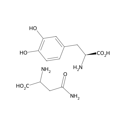 NC(=O)CC(N)C(=O)O.N[C@@H](Cc1ccc(O)c(O)c1)C(=O)O